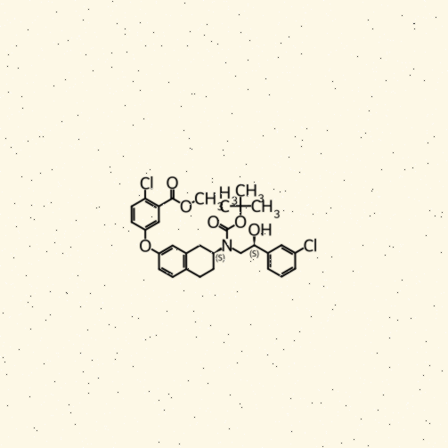 COC(=O)c1cc(Oc2ccc3c(c2)C[C@@H](N(C[C@@H](O)c2cccc(Cl)c2)C(=O)OC(C)(C)C)CC3)ccc1Cl